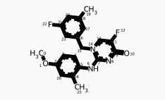 COc1ccc(Nc2nc(=O)c(F)cn2Cc2cc(C)cc(F)c2)c(C)c1